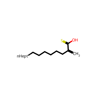 C=C(CCCCCCCCCCCCC)C(O)=S